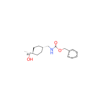 C[C@@H](O)[C@H]1CC[C@H](CNC(=O)OCc2ccccc2)CC1